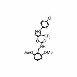 COc1cccc(OC)c1CNC(=O)Oc1cnn(-c2ccc(Cl)cc2)c1C(F)(F)F